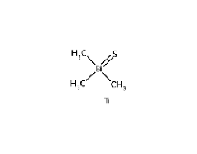 [CH3][Bi]([CH3])([CH3])=[S].[Ti]